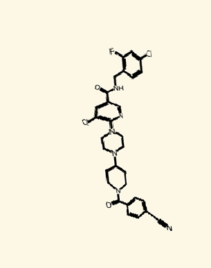 N#Cc1ccc(C(=O)N2CCC(N3CCN(c4ncc(C(=O)NCc5ccc(Cl)cc5F)cc4Cl)CC3)CC2)cc1